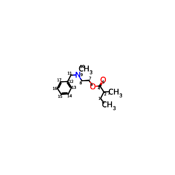 CCC(C)C(=O)OCCN(C)Cc1ccccc1